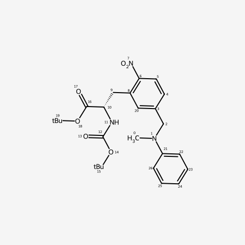 CN(Cc1ccc([N+](=O)[O-])c(C[C@H](NC(=O)OC(C)(C)C)C(=O)OC(C)(C)C)c1)c1ccccc1